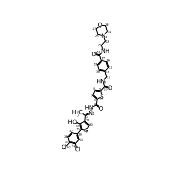 C/C(=N\NC(=O)c1ccc(C(=O)NCc2ccc(C(=O)NCCN3CCOCC3)cc2)s1)c1csc(-c2ccc(Cl)c(Cl)c2)c1O